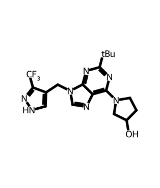 CC(C)(C)c1nc(N2CCC(O)C2)c2ncn(Cc3c[nH]nc3C(F)(F)F)c2n1